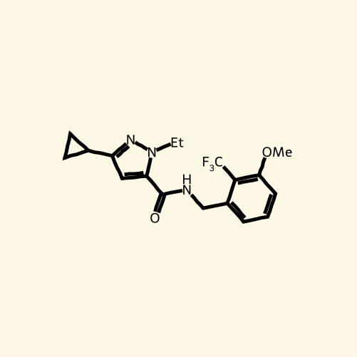 CCn1nc(C2CC2)cc1C(=O)NCc1cccc(OC)c1C(F)(F)F